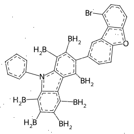 Bc1c(B)c(B)c2c(c1B)c1c(B)c(-c3ccc4oc5cccc(Br)c5c4c3)c(B)c(B)c1n2-c1ccccc1